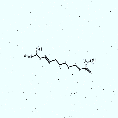 C=C(CCCCCCC=CCC(O)CCCCCC)OO